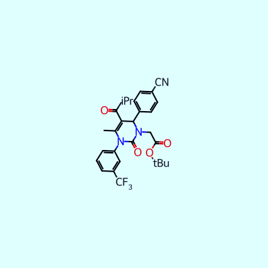 CC1=C(C(=O)C(C)C)C(c2ccc(C#N)cc2)N(CC(=O)OC(C)(C)C)C(=O)N1c1cccc(C(F)(F)F)c1